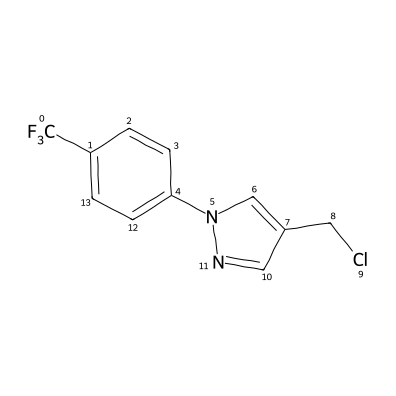 FC(F)(F)c1ccc(-n2cc(CCl)cn2)cc1